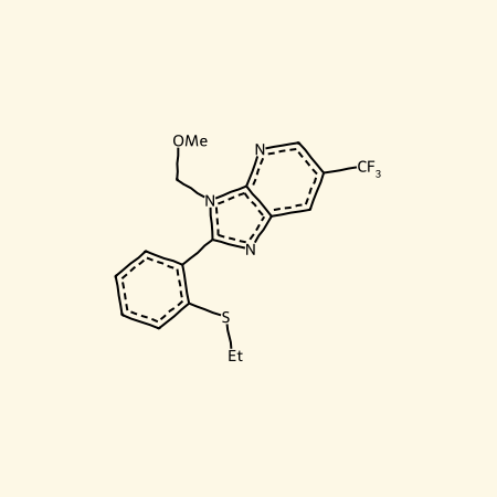 CCSc1ccccc1-c1nc2cc(C(F)(F)F)cnc2n1COC